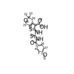 COc1ccc(C(=O)NC(=S)Nc2sc3c(c2C(=O)O)CC(C)(C)OC3)cc1